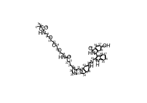 CC(C)(C)OC(=O)NCCOCCOCCOCCNC(=O)CCCCn1ccnc1Cn1ccc2ccc(CNCc3[nH]c4ccccc4c3C3NC(=O)c4ccc(O)cc43)cc21